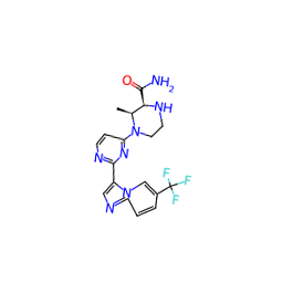 C[C@H]1[C@@H](C(N)=O)NCCN1c1ccnc(-c2cnc3ccc(C(F)(F)F)cn23)n1